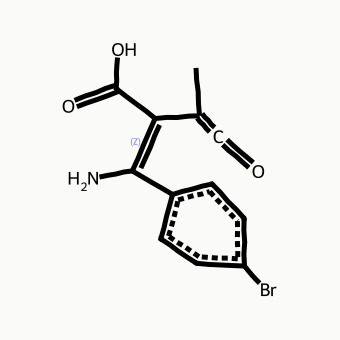 CC(=C=O)/C(C(=O)O)=C(/N)c1ccc(Br)cc1